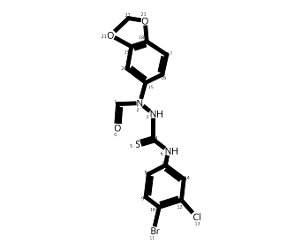 O=CN(NC(=S)Nc1ccc(Br)c(Cl)c1)c1ccc2c(c1)OCO2